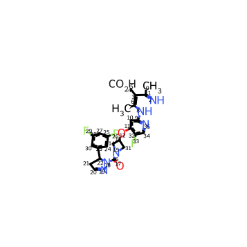 CC(=N)/C(CC(=O)O)=C(/C)Nc1cc(OC2CN(C(=O)N3N=CCC3c3cc(F)cc(F)c3)C2)c(F)cn1